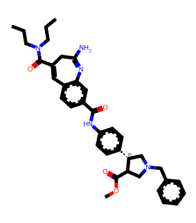 CCCN(CCC)C(=O)C1=Cc2ccc(C(=O)Nc3ccc([C@@H]4CN(Cc5ccccc5)CC4C(=O)OC)cc3)cc2N=C(N)C1